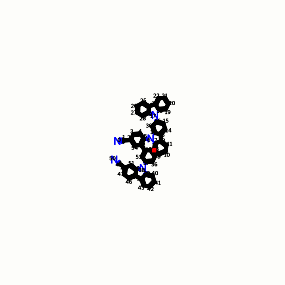 N#Cc1ccc(-n2c3ccccc3c3ccc(-n4c5ccccc5c5ccccc54)cc32)c(-c2cccc(-n3c4ccccc4c4ccc(C#N)cc43)c2)c1